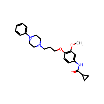 COc1cc(NC(=O)C2CC2)ccc1OCCCN1CCN(c2ccccc2)CC1